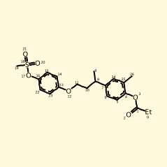 CCC(=O)Oc1ccc(C(C)CCOc2ccc(OS(C)(=O)=O)cc2)cc1C